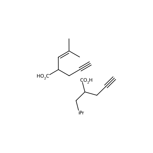 C#CCC(C=C(C)C)C(=O)O.C#CCC(CC(C)C)C(=O)O